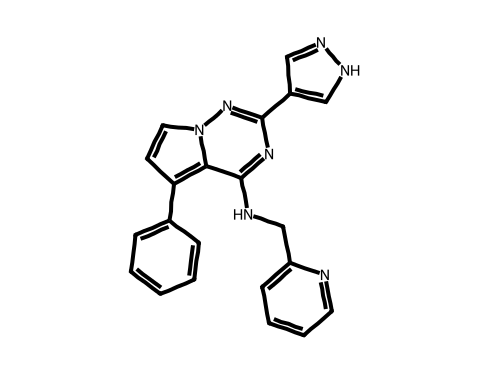 c1ccc(-c2ccn3nc(-c4cn[nH]c4)nc(NCc4ccccn4)c23)cc1